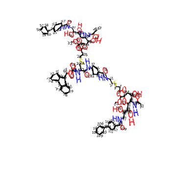 COC(=O)C1(OCCCSCCNC(=O)c2ccc(NC(=O)C(CSCCCO[C@]3(C(=O)OC)C[C@@H](O)C(NC(C)=O)C([C@H](O)C(O)CNC(=O)c4ccc(-c5ccccc5)cc4)O3)NC(=O)OCC3c4ccccc4-c4ccccc43)cc2)C[C@@H](O)[C@@H](NC(C)=O)C([C@H](O)[C@H](O)CNC(=O)c2ccc(-c3ccccc3)cc2)O1